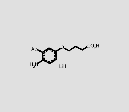 CC(=O)c1cc(OCCCC(=O)O)ccc1N.[LiH]